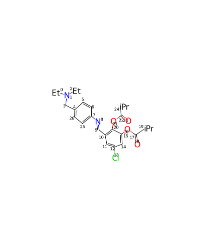 CCN(CC)Cc1ccc(N=Cc2cc(Cl)cc(OC(=O)C(C)C)c2OC(=O)C(C)C)cc1